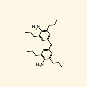 CCCc1cc(Sc2cc(CCC)c(N)c(CCC)c2)cc(CCC)c1N